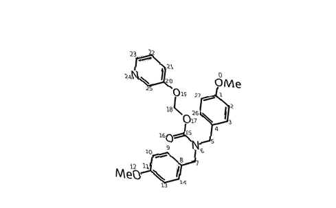 COc1ccc(CN(Cc2ccc(OC)cc2)C(=O)OCOc2cccnc2)cc1